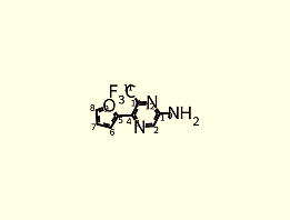 Nc1cnc(-c2ccco2)c(C(F)(F)F)n1